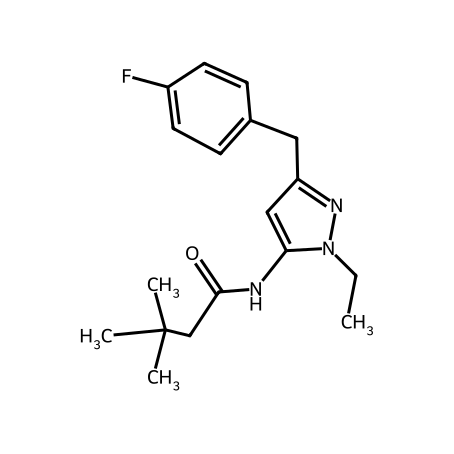 CCn1nc(Cc2ccc(F)cc2)cc1NC(=O)CC(C)(C)C